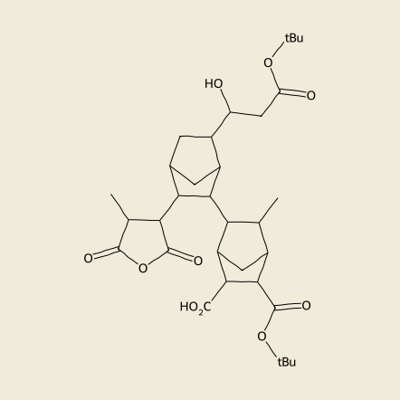 CC1C(=O)OC(=O)C1C1C2CC(C(O)CC(=O)OC(C)(C)C)C(C2)C1C1C(C)C2CC1C(C(=O)O)C2C(=O)OC(C)(C)C